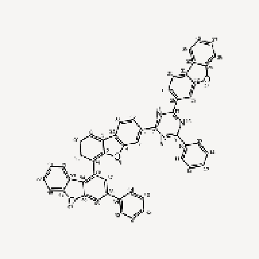 C1=c2c(oc3cc(-c4nc(-c5ccccc5)nc(-c5ccc6c(c5)oc5ccccc56)n4)ccc23)=C(c2cc(-c3ccccc3)cc3oc4ccccc4c23)CC1